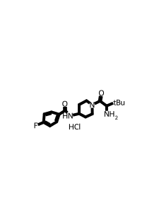 CC(C)(C)C(N)C(=O)N1CCC(NC(=O)c2ccc(F)cc2)CC1.Cl